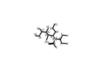 C=C(C)N(C(CC)CC)C(CCC)C(C)C(C)C(C)CC